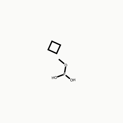 C1CCC1.COP(O)O